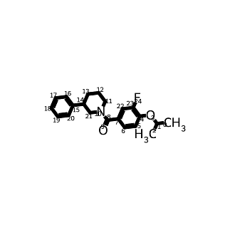 CC(C)Oc1ccc(C(=O)N2CCCC(c3ccccc3)C2)cc1F